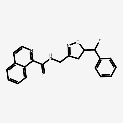 O=C(NCC1=NOC(C(F)c2ccccc2)C1)c1nccc2ccccc12